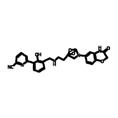 N#Cc1cccc(-c2cccc(CNCCC34CN(c5ccc6c(c5)NC(=O)CO6)C(O3)O4)c2O)n1